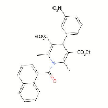 CCOC(=O)C1=C(C)N(C(=O)c2cccc3ccccc23)C(C)=C(C(=O)OCC)C1c1cccc([N+](=O)[O-])c1